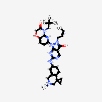 C/C=C\Cn1c(=O)c2cnc(Nc3ccc4c(c3)CN(C)CC43CC3)nc2n1-c1ccc2c(n1)N(CC(C)(C)C)C(=O)CO2